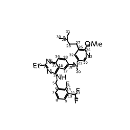 CCc1nc(NCc2cccc(C(F)F)c2F)c2cc(N(C)c3cnc(OC)c(CCN(C)C)c3)ccc2n1